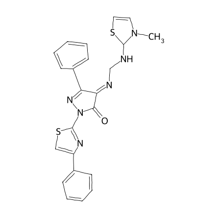 CN1C=CSC1NC/N=C1/C(=O)N(c2nc(-c3ccccc3)cs2)N=C1c1ccccc1